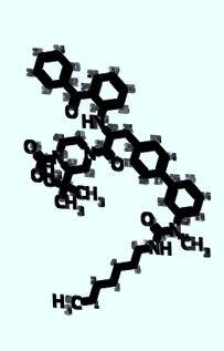 CCCCCCCNC(=O)N(C)c1cccc(-c2ccc(CC(Nc3ccccc3C(=O)c3ccccc3)C(=O)N3CCN(C(=O)O)C(C(C)(C)C)C3)cc2)c1